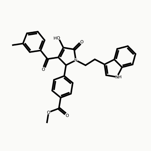 COC(=O)c1ccc(C2C(C(=O)c3cccc(C)c3)=C(O)C(=O)N2CCc2c[nH]c3ccccc23)cc1